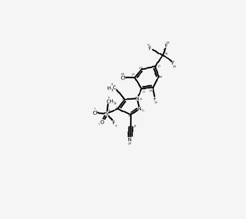 Cc1c(S(C)(=O)(F)Cl)c(C#N)nn1-c1c(F)cc(C(F)(F)F)cc1Cl